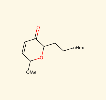 CCCCCCCCC1OC(OC)C=CC1=O